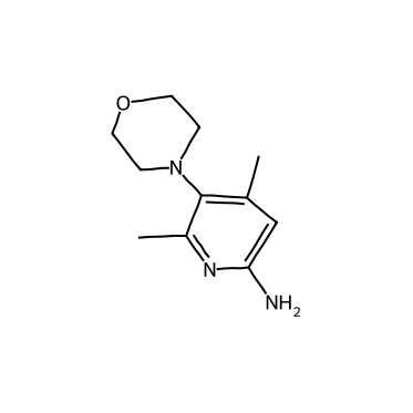 Cc1cc(N)nc(C)c1N1CCOCC1